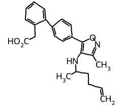 C=CCCC(C)Nc1c(C)noc1-c1ccc(-c2ccccc2CC(=O)O)cc1